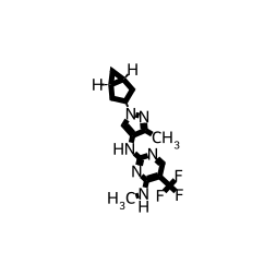 CNc1nc(Nc2cn([C@@H]3C[C@H]4C[C@H]4C3)nc2C)ncc1C(F)(F)F